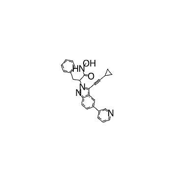 O=C(NO)C(Cc1ccccc1)n1nc2ccc(-c3cccnc3)cc2c1C#CC1CC1